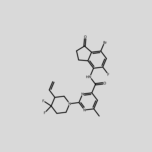 C=CC1CN(c2nc(C)cc(C(=O)Nc3c(F)cc(Br)c4c3CCC4=O)n2)CCC1(F)F